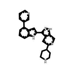 c1cncc(-c2cccc3[nH]c(-c4n[nH]c5cnc(C6CCNCC6)cc45)cc23)c1